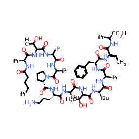 C/C=C(\NC(=O)[C@H](Cc1ccccc1)NC(=O)C(NC(=O)[C@H](NC(=O)C(NC(=O)[C@H](NC(=O)[C@H](CCCN)NC(=O)[C@@H]1CCCN1C(=O)C(NC(=O)C(NC(=O)C(NC(=O)C(NC(=O)CCCC(C)C)C(C)C)C(C)O)C(C)C)C(C)C)C(C)CC)C(C)O)C(C)CC)C(C)C)C(=O)NC(C(=O)O)C(C)C